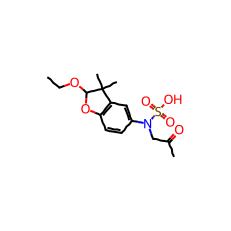 CCOC1Oc2ccc(N(CC(C)=O)S(=O)(=O)O)cc2C1(C)C